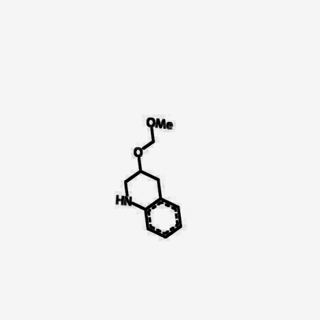 COCOC1CNc2ccccc2C1